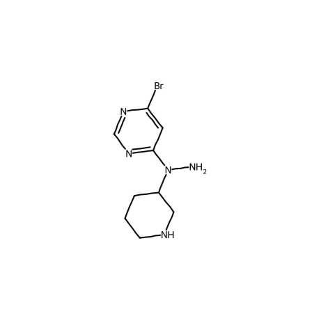 NN(c1cc(Br)ncn1)C1CCCNC1